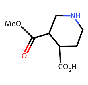 COC(=O)C1CNCCC1C(=O)O